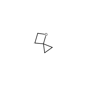 [CH]1COC12CC2